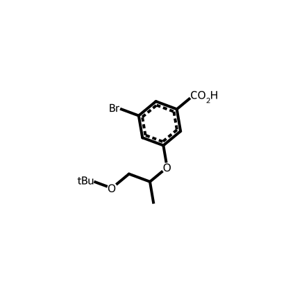 CC(COC(C)(C)C)Oc1cc(Br)cc(C(=O)O)c1